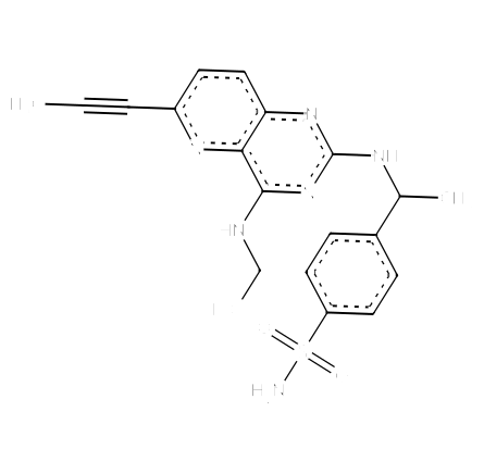 CC#Cc1ccc2nc(NC(C)c3ccc(S(N)(=O)=O)cc3)nc(NCC(F)(F)F)c2n1